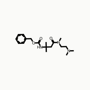 CN(C)CCN(C)C(=O)CC(C)(C)NC(=O)OCc1ccccc1